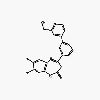 O=C1CC(c2cccc(-c3ccnc(CO)c3)c2)=Nc2cc(Cl)c(Cl)cc2N1